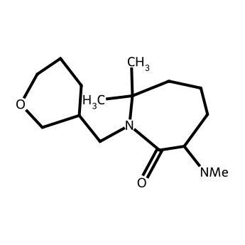 CNC1CCCC(C)(C)N(CC2CCCOC2)C1=O